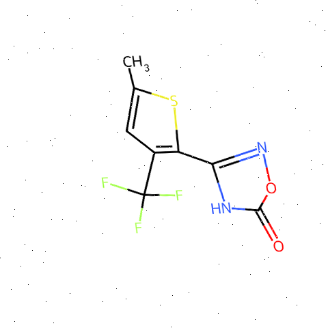 Cc1cc(C(F)(F)F)c(-c2noc(=O)[nH]2)s1